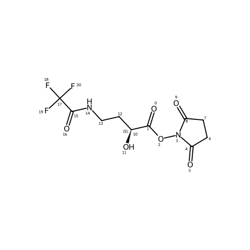 O=C(ON1C(=O)CCC1=O)[C@@H](O)CCNC(=O)C(F)(F)F